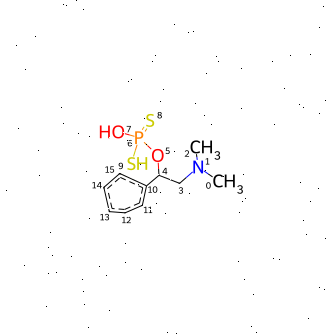 CN(C)CC(OP(O)(=S)S)c1ccccc1